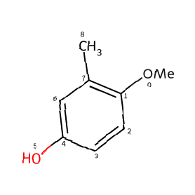 COc1ccc(O)cc1C